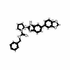 O=C(OCc1ccccc1)N1CCC[C@H]1c1nc2ccc(-c3ccc4c(c3)OCO4)cc2[nH]1